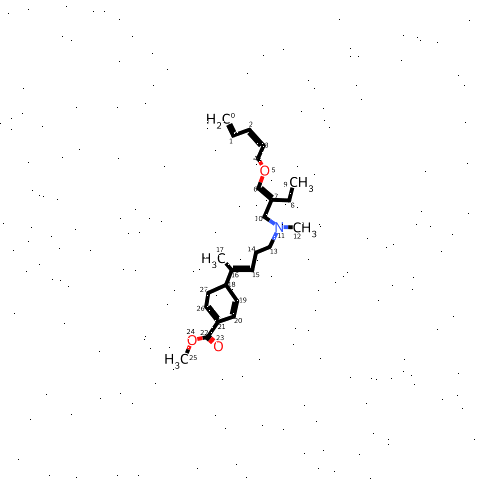 C=C/C=C\CO/C=C(\CC)CN(C)CC/C=C(\C)C1C=CC(C(=O)OC)=CC1